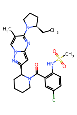 CC[C@@H]1CCCN1c1nc2cc([C@@H]3CCCCN3C(=O)c3cc(Cl)ccc3NS(C)(=O)=O)nn2cc1C